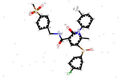 Cc1c([S+]([O-])c2ccc(Cl)cc2)cc(C(=O)NCc2ccc(S(C)(=O)=O)cc2)c(=O)n1-c1cccc(C(F)(F)F)c1